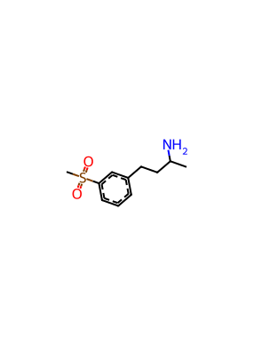 CC(N)CCc1cccc(S(C)(=O)=O)c1